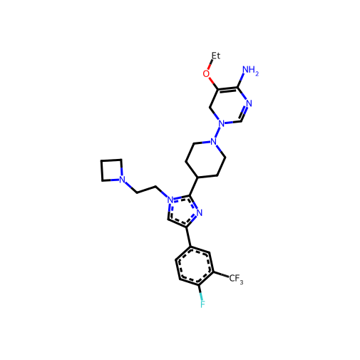 CCOC1=C(N)N=CN(N2CCC(c3nc(-c4ccc(F)c(C(F)(F)F)c4)cn3CCN3CCC3)CC2)C1